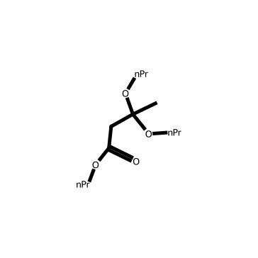 CCCOC(=O)CC(C)(OCCC)OCCC